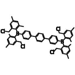 Cc1cc(C)c(B(c2ccc(-c3ccc(-c4ccc(B(c5c(C)cc(C)cc5CCl)c5c(C)cc(C)cc5CCl)cc4)cc3)cc2)c2c(C)cc(C)cc2CCl)c(CCl)c1